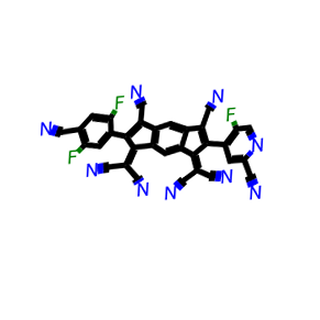 N#CC(C#N)=C1C(c2cc(C#N)ncc2F)=C(C#N)c2cc3c(cc21)C(=C(C#N)C#N)C(c1cc(F)c(C#N)cc1F)=C3C#N